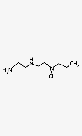 CCCN(Cl)CCNCCN